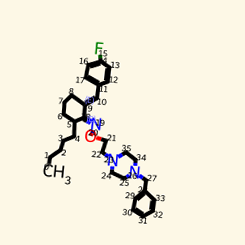 CCCCCC1CCCC(=C\c2ccc(F)cc2)/C1=N/OCCN1CCN(Cc2ccccc2)CC1